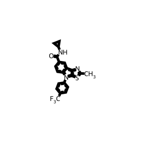 Cc1nc2c3cc(C(=O)NC4CC4)ccc3n(-c3ccc(C(F)(F)F)cc3)c2s1